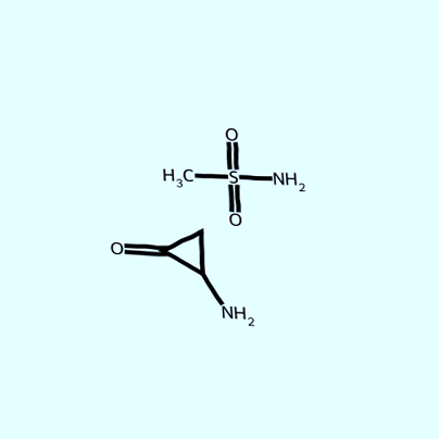 CS(N)(=O)=O.NC1CC1=O